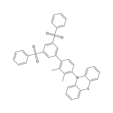 Cc1c(-c2cc(S(=O)(=O)c3ccccc3)cc(S(=O)(=O)c3ccccc3)c2)ccc(N2c3ccccc3Sc3ccccc32)c1C